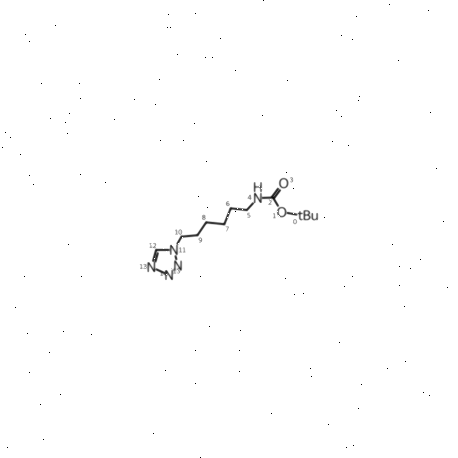 CC(C)(C)OC(=O)NCCCCCCn1cnnn1